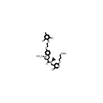 COCCCOc1cc(CN(C(=O)C(CNC(=O)O)Cc2ccc(OCCOc3c(Cl)cc(C)cc3Cl)cc2)C2CC2)c(Cl)cn1